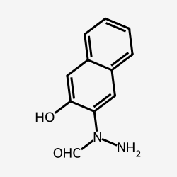 NN(C=O)c1cc2ccccc2cc1O